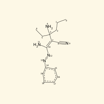 CCCC(N)(CC)C(C#N)=C(N)N=Nc1ccccc1